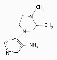 CC1CN(c2ccncc2N)CCN1C